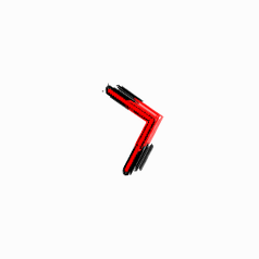 [Cr+3].[Cr+3].[Cr+3].[Cr+3].[Cr+3].[Cr+3].[Cr+3].[Cr+3].[Cr+3].[Cr+3].[Cr+3].[Cr+3].[Cr+3].[Cr+3].[Cr+3].[Cr+3].[Cr+3].[Cr+3].[Cr+3].[Cr+3].[Cr+3].[Cr+3].[Cr+3].[Cr+3].[Cr+3].[Cr+3].[Cr+3].[Cr+3].[Cr+3].[Cr+3].[Cr+3].[Cr+3].[Cr+3].[Cr+3].[Cr+3].[Cr+3].[Cr+3].[Cr+3].[Cr+3].[Cr+3].[O-2].[O-2].[O-2].[O-2].[O-2].[O-2].[O-2].[O-2].[O-2].[O-2].[O-2].[O-2].[O-2].[O-2].[O-2].[O-2].[O-2].[O-2].[O-2].[O-2].[O-2].[O-2].[O-2].[O-2].[O-2].[O-2].[O-2].[O-2].[O-2].[O-2].[O-2].[O-2].[O-2].[O-2].[O-2].[O-2].[O-2].[O-2].[O-2].[O-2].[O-2].[O-2].[O-2].[O-2].[O-2]